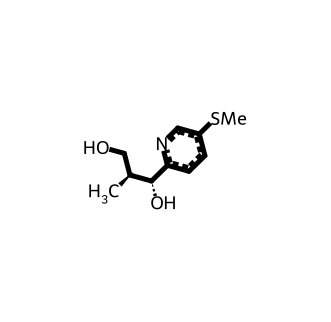 CSc1ccc([C@H](O)[C@@H](C)CO)nc1